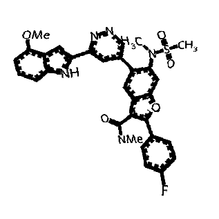 CNC(=O)c1c(-c2ccc(F)cc2)oc2cc(N(C)S(C)(=O)=O)c(-c3cnnc(-c4cc5c(OC)cccc5[nH]4)c3)cc12